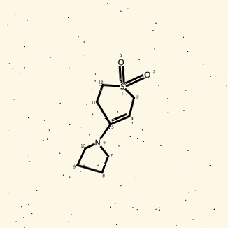 O=S1(=O)CC=C(N2CCCC2)CC1